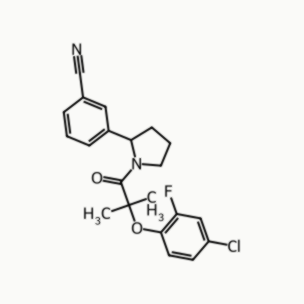 CC(C)(Oc1ccc(Cl)cc1F)C(=O)N1CCCC1c1cccc(C#N)c1